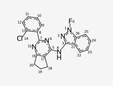 Fn1nc(Nc2nc(-c3ccccc3Cl)nc3c2CCC3)c2ccccc21